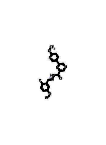 CC(C)Oc1ccc(F)c(/C=N/NC(=O)c2cncc(-c3ccc(OC(F)(F)F)nc3)n2)c1